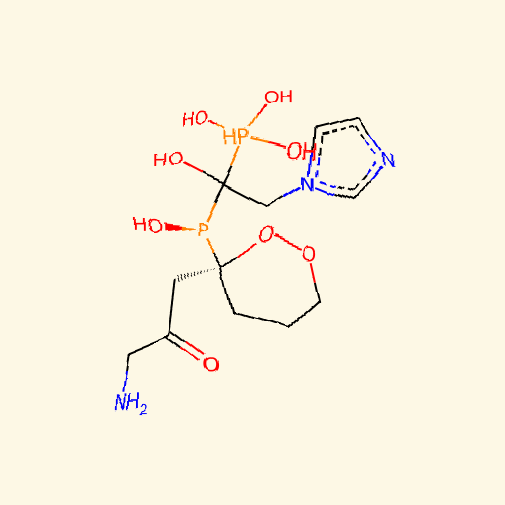 NCC(=O)C[C@@]1([P@@](O)C(O)(Cn2ccnc2)[PH](O)(O)O)CCCOO1